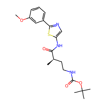 COc1cccc(-c2ncc(NC(=O)[C@H](C)CCNC(=O)OC(C)(C)C)s2)c1